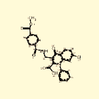 COC(=O)c1ccc(C(=O)NCc2c(C(=O)O)n(-c3ccccc3)c3cc(Cl)ccc3c2=O)cc1